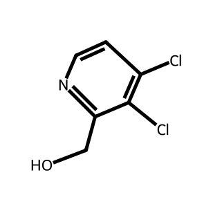 OCc1nccc(Cl)c1Cl